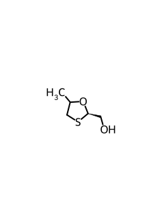 CC1CS[C@H](CO)O1